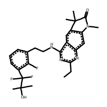 CCc1nc(NCCc2cccc(C(F)(F)C(C)(C)O)c2F)c2cc3c(cc2n1)N(C)C(=O)C3(C)C